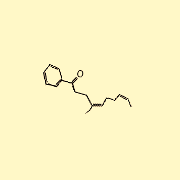 C/C=C\CC/C=C(/C)CCC(=O)c1ccccc1